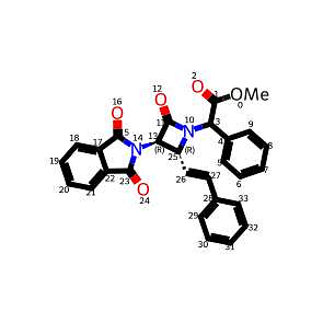 COC(=O)C(c1ccccc1)N1C(=O)[C@H](N2C(=O)c3ccccc3C2=O)[C@H]1C=Cc1ccccc1